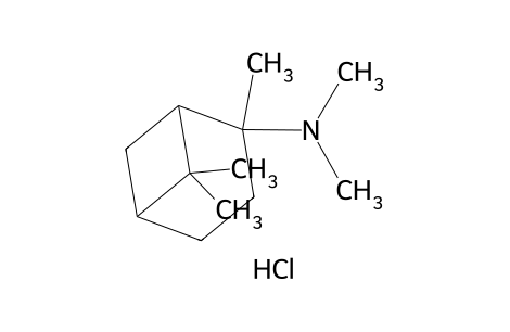 CN(C)C1(C)CCC2CC1C2(C)C.Cl